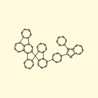 c1ccc(-n2c(-c3ccc(-c4cccc5c4-c4ccccc4C54c5ccccc5-c5c4cc4c6c(cccc56)-c5ccccc5-4)cc3)nc3ccccc32)cc1